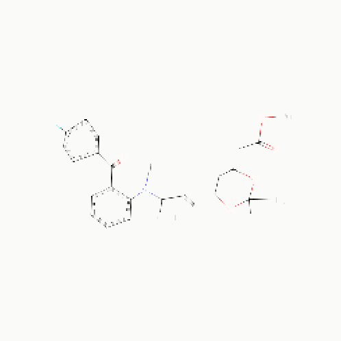 CC(C)N(c1ccccc1C(=O)c1ccc(F)cc1)C(/C=C/[C@@H]1C[C@H](CC(=O)OC(C)(C)C)OC(C)(C)O1)C(=O)O